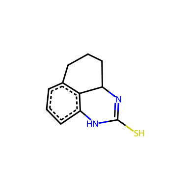 SC1=NC2CCCc3cccc(c32)N1